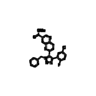 COC(=O)c1cnc2ccc(-c3c(-c4cc(Cl)ccc4F)nnn3Cc3ccccc3)nc2c1